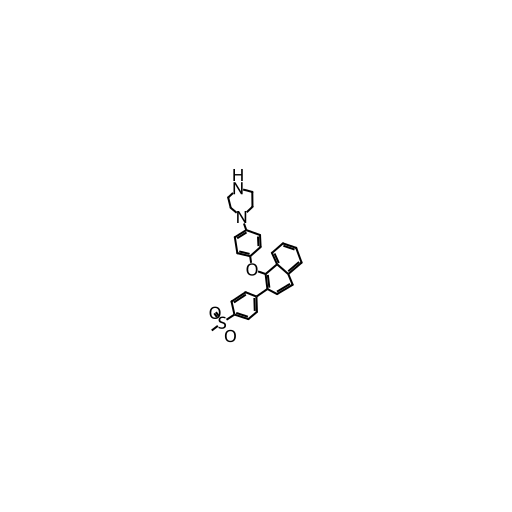 CS(=O)(=O)c1ccc(-c2ccc3ccccc3c2Oc2ccc(N3CCNCC3)cc2)cc1